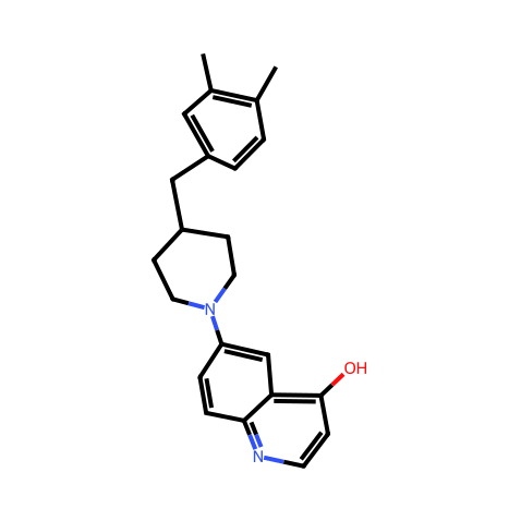 Cc1ccc(CC2CCN(c3ccc4nccc(O)c4c3)CC2)cc1C